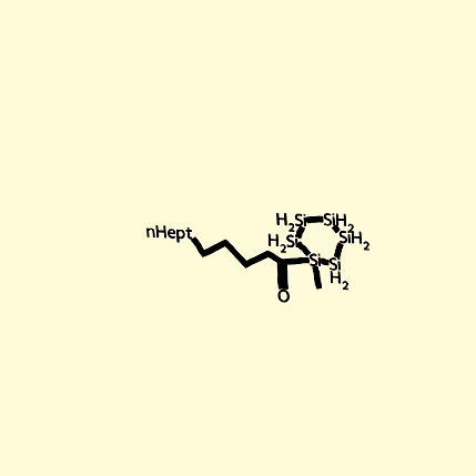 CCCCCCCCCCCC(=O)[Si]1(C)[SiH2][SiH2][SiH2][SiH2][SiH2]1